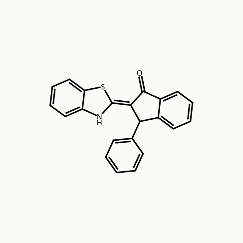 O=C1/C(=C2/Nc3ccccc3S2)C(c2ccccc2)c2ccccc21